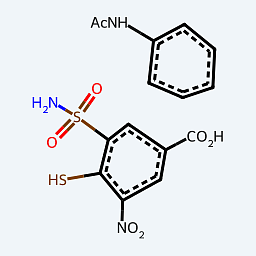 CC(=O)Nc1ccccc1.NS(=O)(=O)c1cc(C(=O)O)cc([N+](=O)[O-])c1S